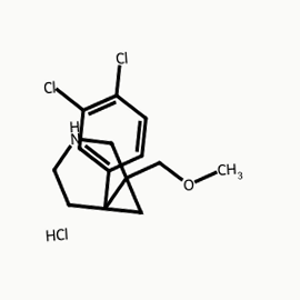 COCC12CNCCC1(c1ccc(Cl)c(Cl)c1)C2.Cl